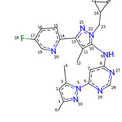 Cc1cc(C)n(-c2cc(Nc3c(C)c(-c4ccc(F)cn4)nn3CC3CC3)ncn2)n1